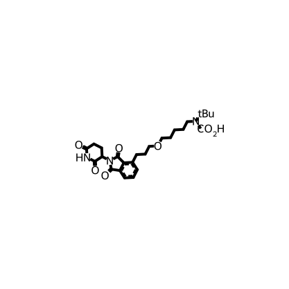 CC(C)(C)N(CCCCCOCCCc1cccc2c1C(=O)N(C1CCC(=O)NC1=O)C2=O)C(=O)O